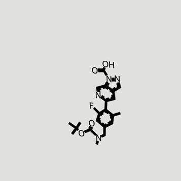 Cc1cc(CN(C)C(=O)OC(C)(C)C)cc(F)c1-c1cc2cnn(C(=O)O)c2cn1